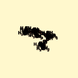 CC(C)(C)OC(=O)C[C@H](NC(=O)OCc1ccc(OC(=O)c2ccc(NC(=NC(=O)OC(C)(C)C)NC(=O)OC(C)(C)C)cc2)cc1)C(=O)N[C@@H](CC(=O)OC(C)(C)C)C(=O)NCCOCCOCCOCCOCCNC(=O)[C@H](CC(=O)OC(C)(C)C)NC(=O)[C@H](CC(=O)OC(C)(C)C)NC(=O)OCc1ccc(OC(=O)c2ccc(NC(=NC(=O)OC(C)(C)C)NC(=O)OC(C)(C)C)cc2)cc1